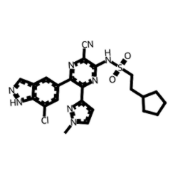 Cn1ccc(-c2nc(NS(=O)(=O)CCC3CCCC3)c(C#N)nc2-c2cc(Cl)c3[nH]ncc3c2)n1